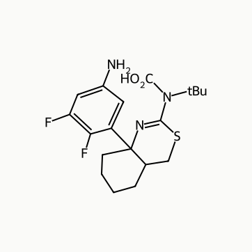 CC(C)(C)N(C(=O)O)C1=NC2(c3cc(N)cc(F)c3F)CCCCC2CS1